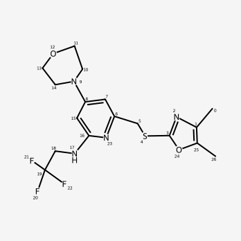 Cc1nc(SCc2cc(N3CCOCC3)cc(NCC(F)(F)F)n2)oc1C